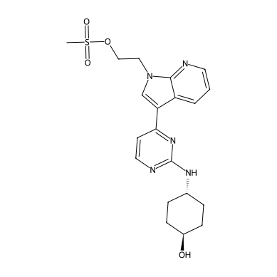 CS(=O)(=O)OCCn1cc(-c2ccnc(N[C@H]3CC[C@H](O)CC3)n2)c2cccnc21